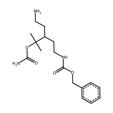 CC(C)(OC(N)=O)C(CCN)CCNC(=O)OCc1ccccc1